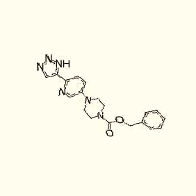 O=C(OCc1ccccc1)N1CCN(c2ccc(-c3cnn[nH]3)nc2)CC1